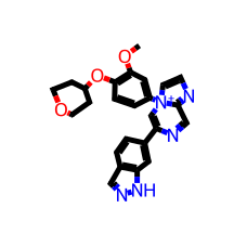 COc1cc([N+]23C=CN=C2C=NC(c2ccc4cn[nH]c4c2)=C3)ccc1OC1CCOCC1